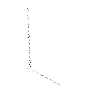 CCCCCCCCCCCCCCCCCCC(C)CCCCCCCCCCCCCCCC(=O)CCCCCCCCCCCCCCCCC